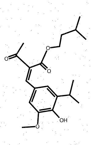 COc1cc(C=C(C(C)=O)C(=O)OCCC(C)C)cc(C(C)C)c1O